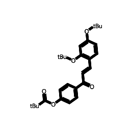 CC(C)(C)Oc1ccc(/C=C/C(=O)c2ccc(OC(=O)C(C)(C)C)cc2)c(OC(C)(C)C)c1